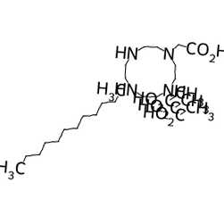 CC(=O)O.CC(=O)O.CC(=O)O.CCCCCCCCCCCC.O=C(O)CN1CCNCCNCCNCC1